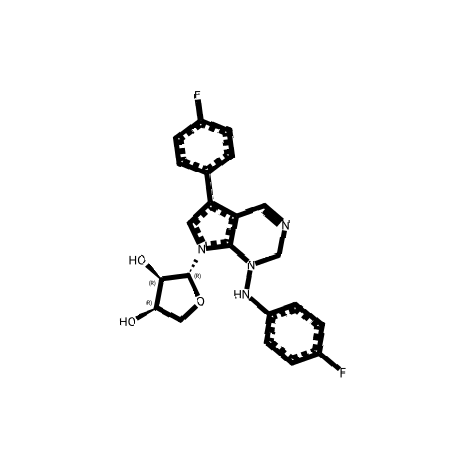 O[C@@H]1[C@H](O)CO[C@H]1n1cc(-c2ccc(F)cc2)c2c1N(Nc1ccc(F)cc1)CN=C2